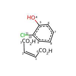 O=C(O)/C=C\C(=O)O.Oc1ccccc1Cl